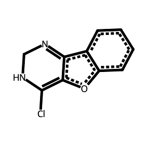 ClC1=c2oc3ccccc3c2=NCN1